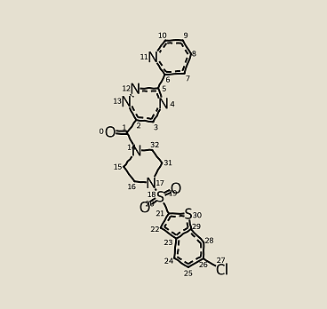 O=C(c1cnc(-c2ccccn2)nn1)N1CCN(S(=O)(=O)c2cc3ccc(Cl)cc3s2)CC1